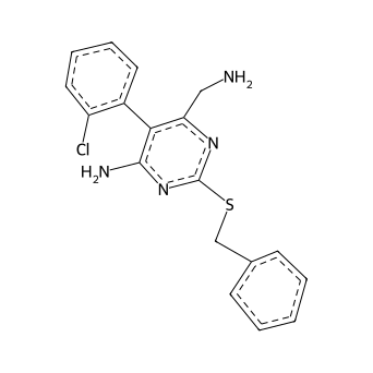 NCc1nc(SCc2ccccc2)nc(N)c1-c1ccccc1Cl